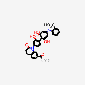 COC(=O)c1ccc2c(c1)N(c1ccc(C3C(O)=CC(Nc4ccccc4C(=O)O)=CC3(O)O)c(O)c1)C(=O)CC2